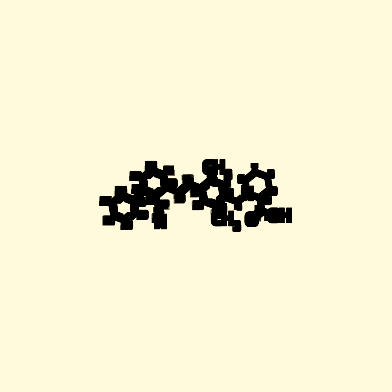 Cc1cc(CN2CCCCC2C(=O)O)c(C)cc1/C=C/c1cccc(-c2ccccc2)c1C#N